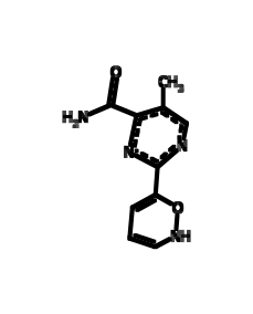 Cc1cnc(C2=CC=CNO2)nc1C(N)=O